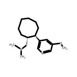 COc1cncc([C@@H]2CCCCCC[C@H]2CN(C)C)c1